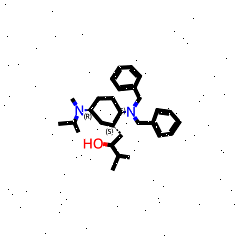 CC(C)C(O)C[C@@H]1C[C@H](N(C)C(C)C)CC[C@@H]1N(Cc1ccccc1)Cc1ccccc1